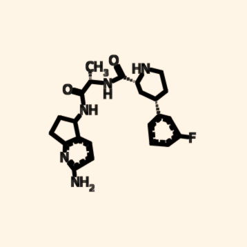 C[C@H](NC(=O)[C@H]1C[C@@H](c2cccc(F)c2)CCN1)C(=O)NC1CCc2nc(N)ccc21